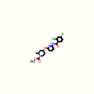 CC1CC(Oc2cccc(NC(=O)c3ccc(F)cc3Cl)n2)CCN1C(=O)OC(C)(C)C